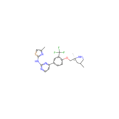 Cc1csc(Nc2nccc(-c3ccc(OC[C@@](C)(N)CC(C)C)c(C(F)(F)F)c3)n2)n1